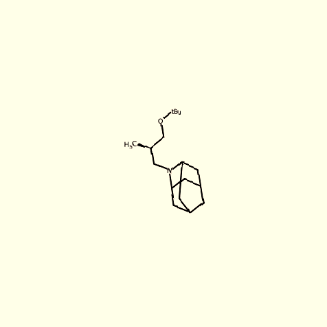 C[C@@H](COC(C)(C)C)CN1C2CC3CC(C2)CC1C3